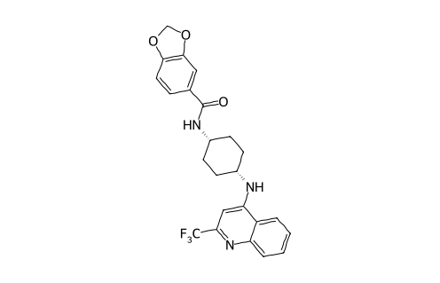 O=C(N[C@H]1CC[C@@H](Nc2cc(C(F)(F)F)nc3ccccc23)CC1)c1ccc2c(c1)OCO2